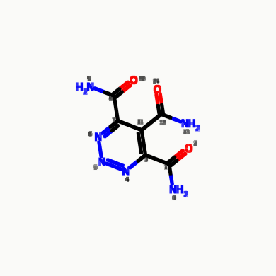 NC(=O)c1nnnc(C(N)=O)c1C(N)=O